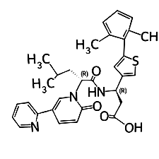 Cc1cccc(C)c1-c1cc([C@@H](CC(=O)O)NC(=O)[C@@H](CC(C)C)n2cc(-c3ccccn3)ccc2=O)cs1